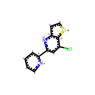 Clc1cc(-c2ccccn2)nc2ccsc12